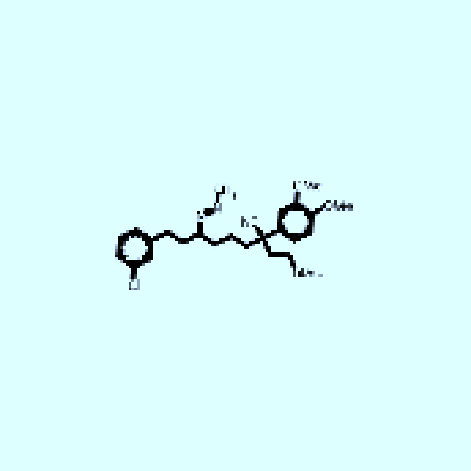 CCCCCCCCCCCCC(C#N)(CCCC(CCc1cccc(Cl)c1)N=NC)c1ccc(OC)c(OC)c1